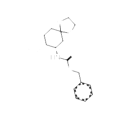 O=C[C@@H]1CCC2(C[C@H]1NC(=O)OCc1ccccc1)OCCO2